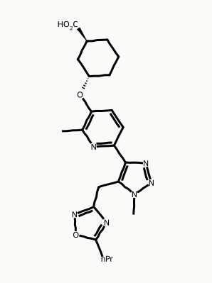 CCCc1nc(Cc2c(-c3ccc(O[C@H]4CCC[C@H](C(=O)O)C4)c(C)n3)nnn2C)no1